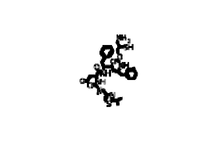 CC(C)c1nc(CN(C)C(=O)NC(CC=O)C(=O)NC(CCC(Cc2ccccc2)NC(=O)OCC(S)CN)Cc2ccccc2)cs1